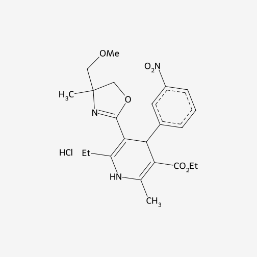 CCOC(=O)C1=C(C)NC(CC)=C(C2=NC(C)(COC)CO2)C1c1cccc([N+](=O)[O-])c1.Cl